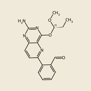 CC[C@@H](OC)Oc1nc(N)nc2ccc(-c3ccccc3C=O)nc12